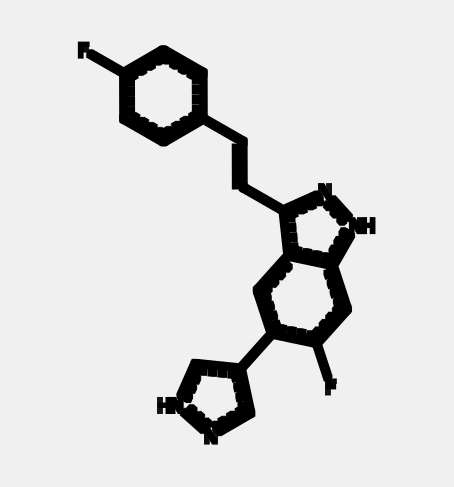 Fc1ccc(/C=C/c2n[nH]c3cc(F)c(-c4cn[nH]c4)cc23)cc1